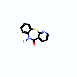 CCN1C(=O)c2cccnc2Sc2ccccc21